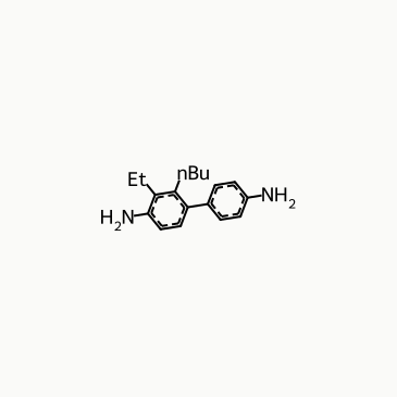 CCCCc1c(-c2ccc(N)cc2)ccc(N)c1CC